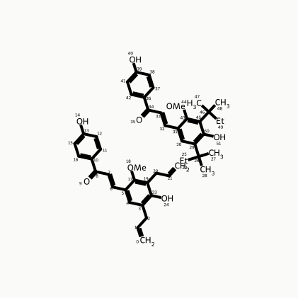 C=CCc1cc(C=CC(=O)c2ccc(O)cc2)c(OC)c(CC=C)c1O.CCC(C)(C)c1cc(C=CC(=O)c2ccc(O)cc2)c(OC)c(C(C)(C)CC)c1O